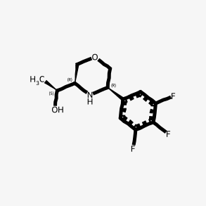 C[C@H](O)[C@H]1COC[C@@H](c2cc(F)c(F)c(F)c2)N1